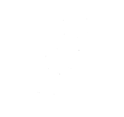 [CH](c1ccccc1)C1CCCN(CC2CC2)C1